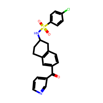 O=C(c1cccnc1)c1ccc2c(c1)CCC(NS(=O)(=O)c1ccc(Cl)cc1)C2